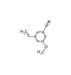 C=[C]c1cc(C#N)cc(OC)c1